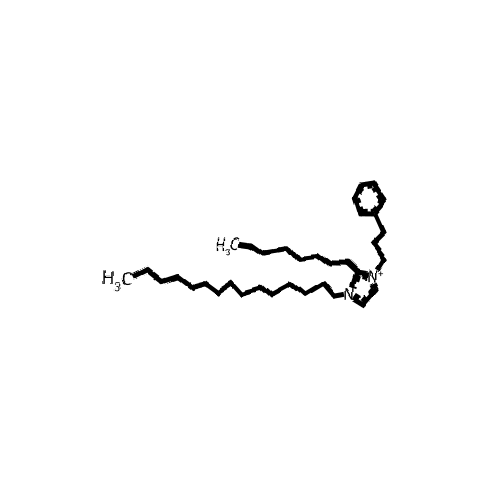 CCCCCCCCCCCCCCCn1cc[n+](CCCc2ccccc2)c1CCCCCCCC